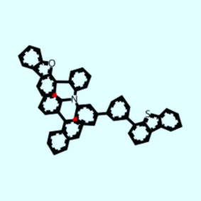 c1cc(-c2cccc(N(c3ccccc3-c3cccc4ccccc34)c3ccccc3-c3cccc4c3oc3ccccc34)c2)cc(-c2cccc3c2sc2ccccc23)c1